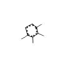 Clc1[c]cc(Cl)c(Cl)c1Cl